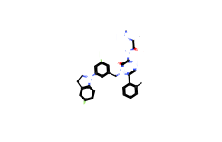 CN[C@@H](C)C(=O)Nc1ncc(-c2ccccc2C)n(Cc2cc(F)cc(N3CCc4cc(F)ccc43)c2)c1=O